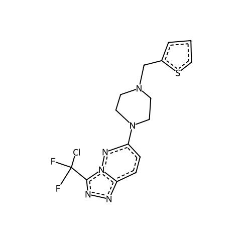 FC(F)(Cl)c1nnc2ccc(N3CCN(Cc4cccs4)CC3)nn12